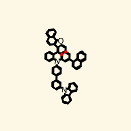 c1cc(-c2cccc3ccccc23)cc(N(c2ccc(-c3cccc(-n4c5ccccc5c5ccccc54)c3)cc2)c2ccccc2-c2cccc3oc4c5ccccc5ccc4c23)c1